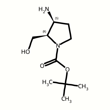 CC(C)(C)OC(=O)N1CC[C@H](N)[C@@H]1CO